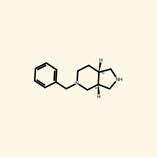 c1ccc(CN2CC[C@@H]3CNC[C@@H]3C2)cc1